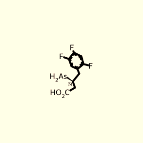 O=C(O)C[C@@H]([AsH2])Cc1cc(F)c(F)cc1F